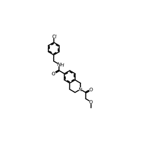 COCC(=O)N1CCc2cc(C(=O)NCc3ccc(Cl)cc3)ccc2C1